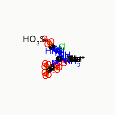 NC([O-])=Nc1cc(N=Nc2cc3c(S(=O)(=O)[O-])cc(S(=O)(=O)[O-])cc3cc2S(=O)(=O)[O-])ccc1Nc1nc(Cl)nc(Nc2ccc(S(=O)(=O)CCOS(=O)(=O)O)cc2)n1.[Na+].[Na+].[Na+].[Na+]